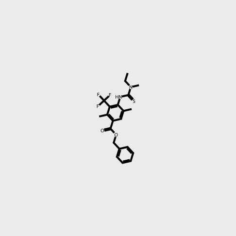 CCN(C)C(=S)Nc1c(C)cc(C(=O)OCc2ccccc2)c(C)c1C(F)(F)F